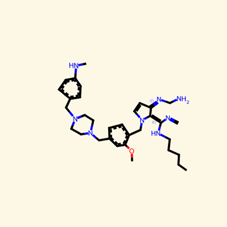 C=N/C(NCCCCC)=C1\C(=N/CN)C=CN1Cc1ccc(CN2CCN(Cc3ccc(NC)cc3)CC2)cc1OC